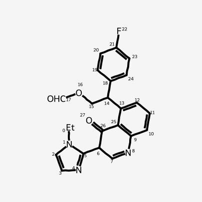 CCn1ccnc1C1C=Nc2cccc(C(COC=O)c3ccc(F)cc3)c2C1=O